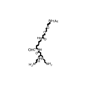 CC(=O)NCCOCCOCCC(=O)NCCCC[C@@H](C=O)NC(=O)CC(CNCCN)CNCCN